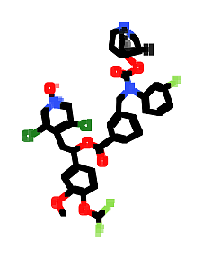 COc1cc(C(Cc2c(Cl)c[n+]([O-])cc2Cl)OC(=O)c2cccc(CN(C(=O)O[C@H]3CN4CCC3CC4)c3cccc(F)c3)c2)ccc1OC(F)F